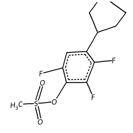 CS(=O)(=O)Oc1c(F)cc(C2CCCCC2)c(F)c1F